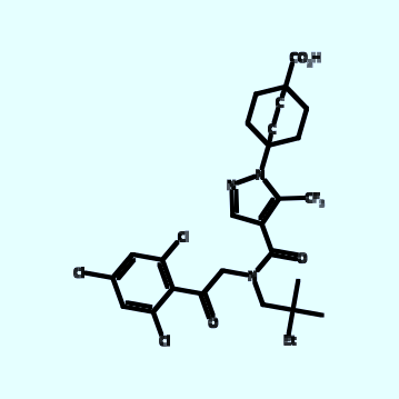 CCC(C)(C)CN(CC(=O)c1c(Cl)cc(Cl)cc1Cl)C(=O)c1cnn(C23CCC(C(=O)O)(CC2)CC3)c1C(F)(F)F